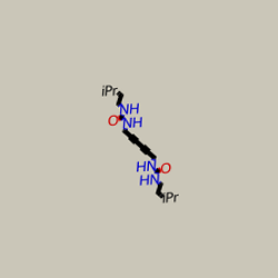 CC(C)CCNC(=O)NCC#CC#CCNC(=O)NCCC(C)C